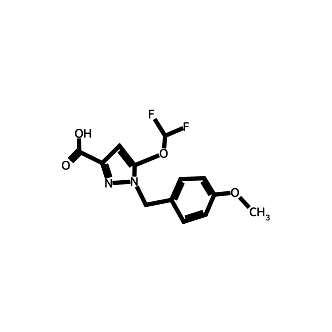 COc1ccc(Cn2nc(C(=O)O)cc2OC(F)F)cc1